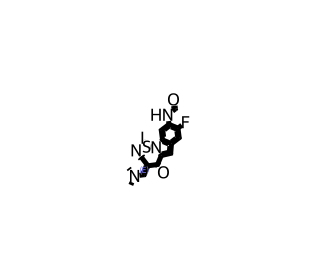 CN(C)/C=C(\C#N)C(=O)c1cc2cc(F)c(NC=O)cc2n1SI